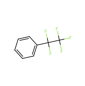 FC(F)(F)C(F)(F)c1cc[c]cc1